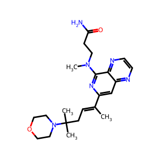 C/C(=C\CC(C)(C)N1CCOCC1)c1cc2nccnc2c(N(C)CCC(N)=O)n1